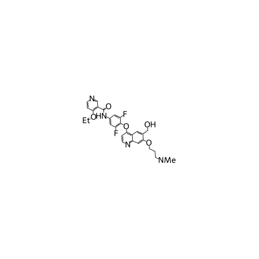 CCOc1ccncc1C(=O)Nc1cc(F)c(Oc2ccnc3cc(OCCCNC)c(CO)cc23)c(F)c1